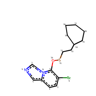 Brc1ccc2cncn2c1OSCCC1CCCCC1